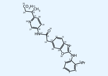 CC(C)c1ccccc1Nc1nc2ccc(CC(=O)Nc3ccc(C(C)CC(=O)O)nc3)cc2o1